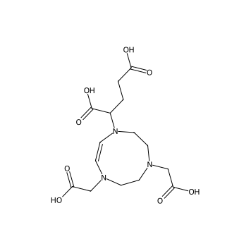 O=C(O)CCC(C(=O)O)N1C=CN(CC(=O)O)CCN(CC(=O)O)CC1